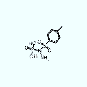 Cc1ccc(S(=O)(=O)N(N)P(=O)(O)O)cc1